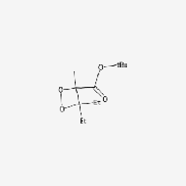 CCC1(CC)OOC1(C)C(=O)OC(C)(C)C